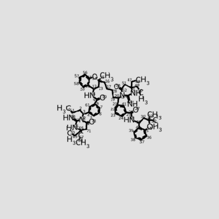 CCCC(c1cccc(C(=O)NC2CC(C)(CCCCC(c3cccc(C(=O)NC4CC(C)(C)Oc5ccccc54)c3)N3C(=N)NC(CC)(CC)CC3=O)Oc3ccccc32)c1)N1C(=N)NC(CC)(CC)CC1=O